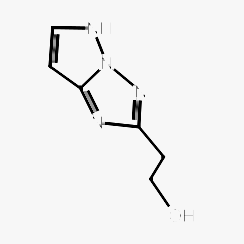 OCCc1nc2cc[nH]n2n1